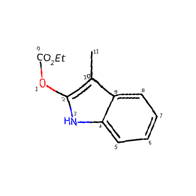 CCOC(=O)Oc1[nH]c2ccccc2c1C